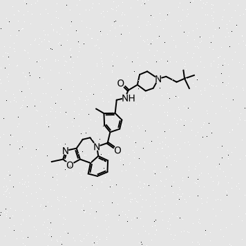 Cc1nc2c(o1)-c1ccccc1N(C(=O)c1ccc(CNC(=O)C3CCN(CCC(C)(C)C)CC3)c(C)c1)CC2